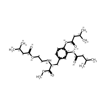 COC(=O)[C@H](Cc1ccc(OC(=O)CC(C)C)c(OC(=O)CC(C)C)c1)NCCOC(=O)CC(C)C